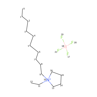 CCCCCCCCCC[N+]1(CC)CCCC1.F[B-](F)(F)F